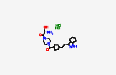 Cl.Cl.N[C@@H](CO)C(=O)N1CCN(C(=O)c2ccc(/C=C/c3n[nH]c4ccccc34)cc2)CC1